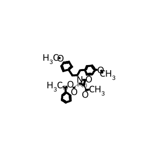 COc1ccc(CC(Cc2ccc(OC)cc2)N2C(=O)[C@@H](C(C)=O)[C@@H]2C(=O)O[C@H](C)c2ccccc2)cc1